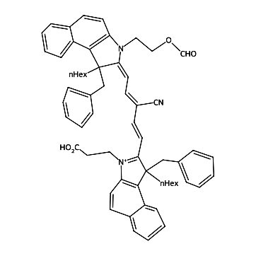 CCCCCCC1(Cc2ccccc2)C(/C=C/C(C#N)=C/C=C2/N(CCOC=O)c3ccc4ccccc4c3C2(CCCCCC)Cc2ccccc2)=[N+](CCC(=O)O)c2ccc3ccccc3c21